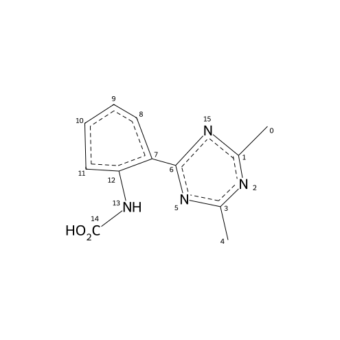 Cc1nc(C)nc(-c2ccccc2NC(=O)O)n1